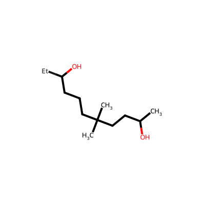 CCC(O)CCCC(C)(C)CCC(C)O